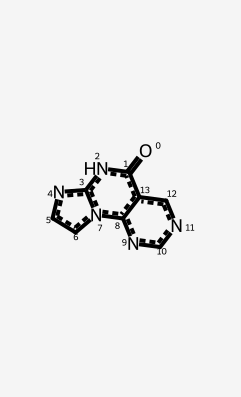 O=c1[nH]c2nccn2c2ncncc12